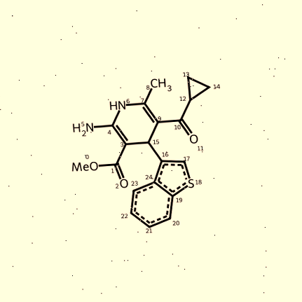 COC(=O)C1=C(N)NC(C)=C(C(=O)C2CC2)C1c1csc2ccccc12